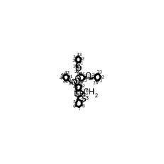 C=C(c1cc2ccccc2s1)c1cc([C@H]2C[C@@H](OCc3ccccc3)C[C@@H](COCc3ccccc3)O2)c(OCc2ccccc2)cc1C